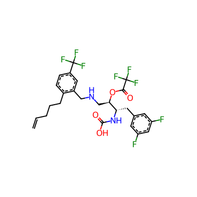 C=CCCCc1ccc(C(F)(F)F)cc1CNC[C@@H](OC(=O)C(F)(F)F)[C@H](Cc1cc(F)cc(F)c1)NC(=O)O